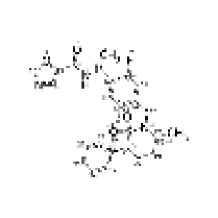 CC(NC(=O)c1cnco1)c1cc(F)c(CN2[C@H](C)CC[C@@H](c3ccccc3)S2(=O)=O)cc1F